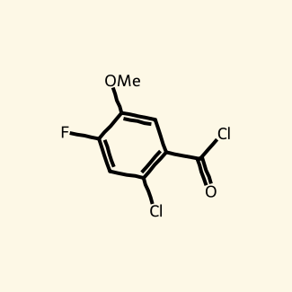 COc1cc(C(=O)Cl)c(Cl)cc1F